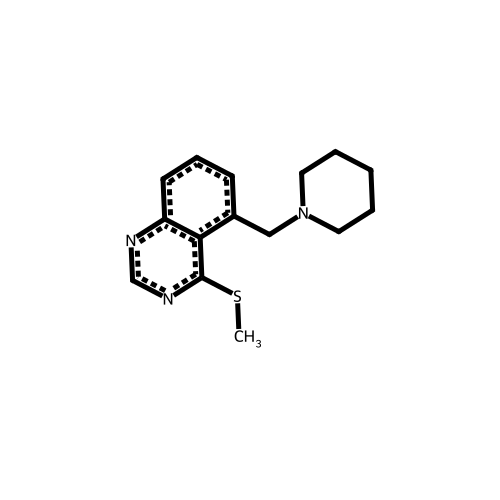 CSc1ncnc2cccc(CN3CCCCC3)c12